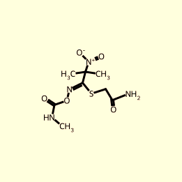 CNC(=O)ON=C(SCC(N)=O)C(C)(C)[N+](=O)[O-]